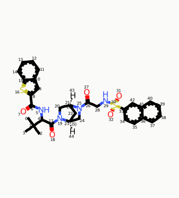 CC(C)(C)C(NC(=O)c1cc2ccccc2s1)C(=O)N1C[C@@H]2C[C@H]1CN2C(=O)CNS(=O)(=O)c1ccc2ccccc2c1